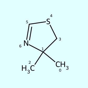 CC1(C)CSC=N1